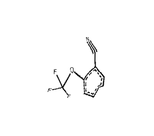 N#Cc1ccc[c]c1OC(F)(F)F